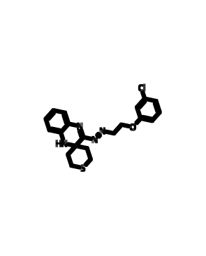 Clc1cccc(OCCN=NC2=Nc3ccccc3NC23CCSCC3)c1